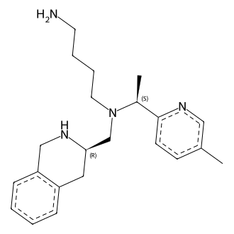 Cc1ccc([C@H](C)N(CCCCN)C[C@H]2Cc3ccccc3CN2)nc1